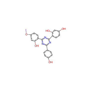 Oc1ccc(-c2nc(-c3ccc(O)cc3O)nc(-c3ccc(OI)cc3O)n2)cc1